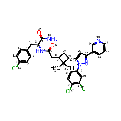 CC1(C)[C@@H](CC(=O)N[C@@H](Cc2ccc(Cl)cc2)C(N)=O)C[C@@H]1c1cc(-c2cccnc2)nn1-c1ccc(Cl)c(Cl)c1